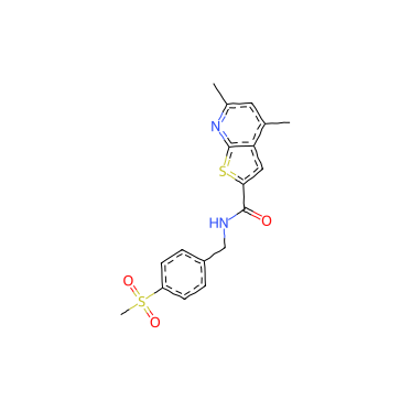 Cc1cc(C)c2cc(C(=O)NCc3ccc(S(C)(=O)=O)cc3)sc2n1